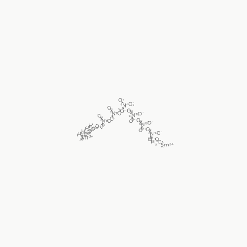 O.O.O.O.O.O.O=[N+]([O-])[O-].O=[N+]([O-])[O-].O=[N+]([O-])[O-].O=[N+]([O-])[O-].O=[N+]([O-])[O-].O=[N+]([O-])[O-].[Sm+3].[Sm+3]